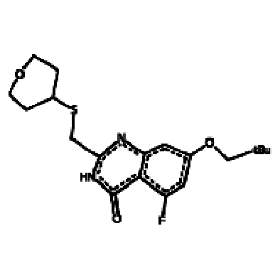 CC(C)(C)COc1cc(F)c2c(=O)[nH]c(CSC3CCOCC3)nc2c1